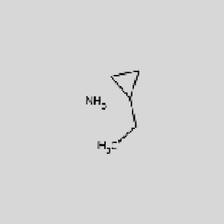 CCC1CC1.N